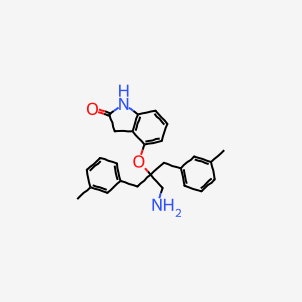 Cc1cccc(CC(CN)(Cc2cccc(C)c2)Oc2cccc3c2CC(=O)N3)c1